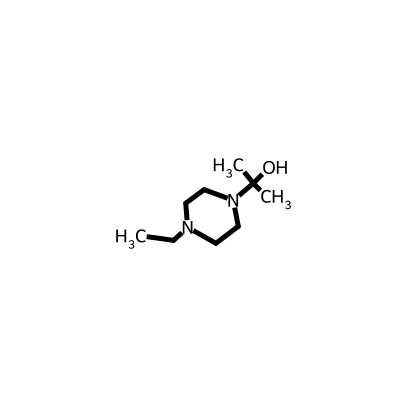 CCN1CCN(C(C)(C)O)CC1